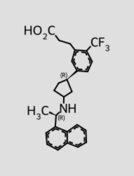 C[C@@H](NC1CC[C@@H](c2ccc(C(F)(F)F)c(CCC(=O)O)c2)C1)c1cccc2ccccc12